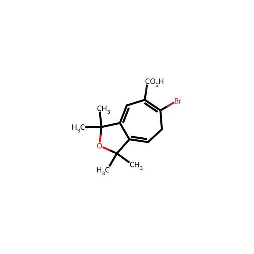 CC1(C)OC(C)(C)C2=CC(C(=O)O)=C(Br)CC=C21